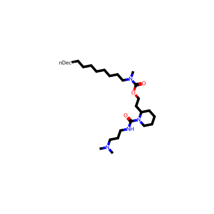 CCCCCCCCCCCCCCCCCCN(C)C(=O)OCCC1CCCCN1C(=O)NCCCN(C)C